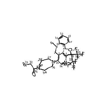 CCCc1cc(C(OCc2ccccc2)(C(F)(F)F)C(F)(F)F)ncc1N1CCN(C(=O)CBr)CC1